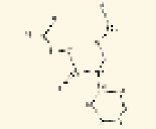 COCCN(C(=O)CCC(C)C)C1CCCCC1